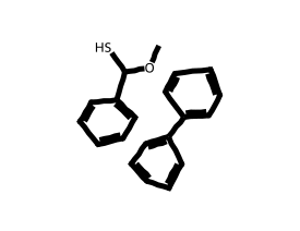 COC(S)c1ccccc1.c1ccc(-c2ccccc2)cc1